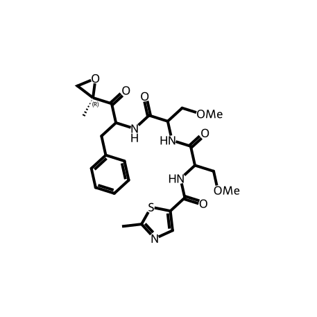 COCC(NC(=O)c1cnc(C)s1)C(=O)NC(COC)C(=O)NC(Cc1ccccc1)C(=O)[C@@]1(C)CO1